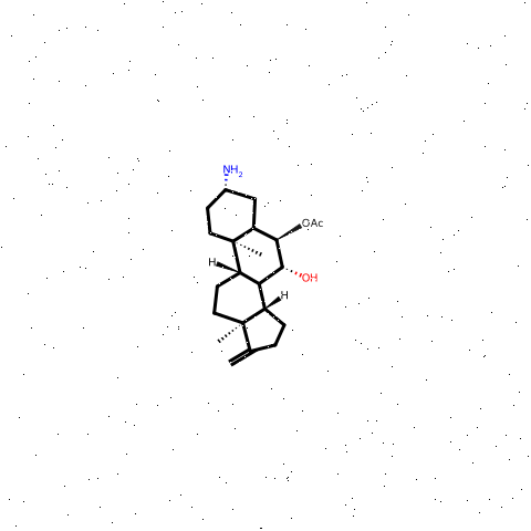 C=C1CC[C@H]2C3[C@@H](O)[C@H](OC(C)=O)C4C[C@@H](N)CC[C@]4(C)[C@H]3CC[C@]12C